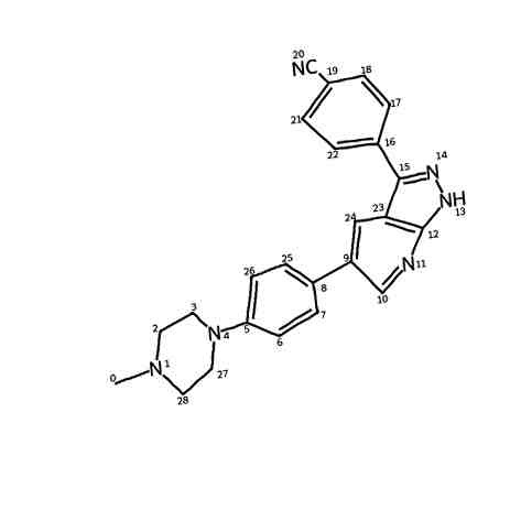 CN1CCN(c2ccc(-c3cnc4[nH]nc(-c5ccc(C#N)cc5)c4c3)cc2)CC1